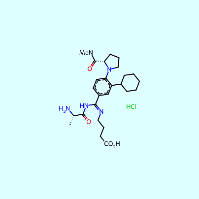 CNC(=O)[C@@H]1CCCN1c1ccc(C(=NCCCC(=O)O)NC(=O)[C@H](C)N)cc1C1CCCCC1.Cl